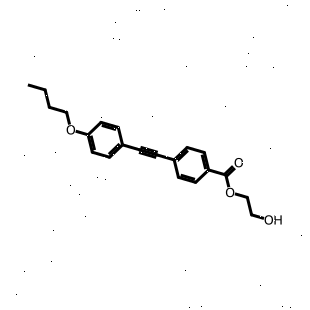 CCCCOc1ccc(C#Cc2ccc(C(=O)OCCO)cc2)cc1